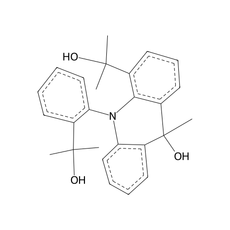 CC(C)(O)c1ccccc1N1c2ccccc2C(C)(O)c2cccc(C(C)(C)O)c21